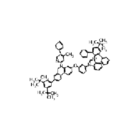 Cc1cc(N2Cc3cc(-c4cc(C(C)(C)C)cc(C(C)(C)C)c4)ccc3-c3ccc(Oc4cccc(-n5c[n+](-c6c(-c7ccccc7)cc(C(C)(C)C)cc6-c6ccccc6)c6ccccc65)c4)cc32)ncc1-c1ccccc1